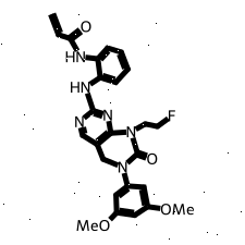 C=CC(=O)Nc1ccccc1Nc1ncc2c(n1)N(CCF)C(=O)N(c1cc(OC)cc(OC)c1)C2